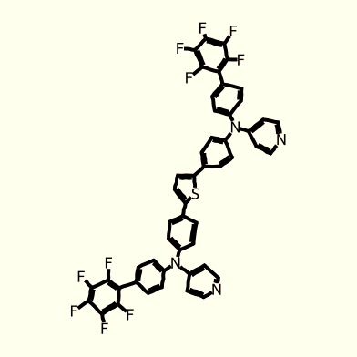 Fc1c(F)c(F)c(-c2ccc(N(c3ccncc3)c3ccc(-c4ccc(-c5ccc(N(c6ccncc6)c6ccc(-c7c(F)c(F)c(F)c(F)c7F)cc6)cc5)s4)cc3)cc2)c(F)c1F